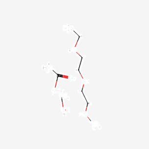 CC(=O)O.CCOCCOCCOC.CO